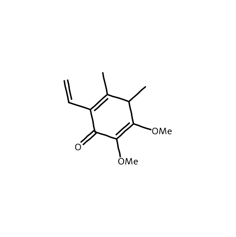 C=CC1=C(C)C(C)C(OC)=C(OC)C1=O